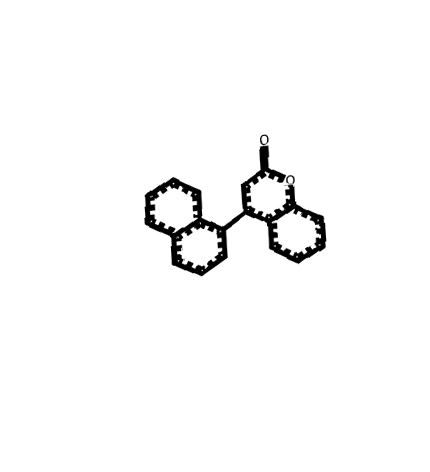 O=c1cc(-c2cccc3ccccc23)c2ccccc2o1